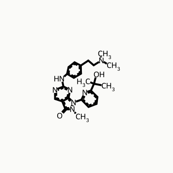 CN(C)CCc1ccc(Nc2ncc3c(=O)n(C)n(-c4cccc(C(C)(C)O)n4)c3n2)cc1